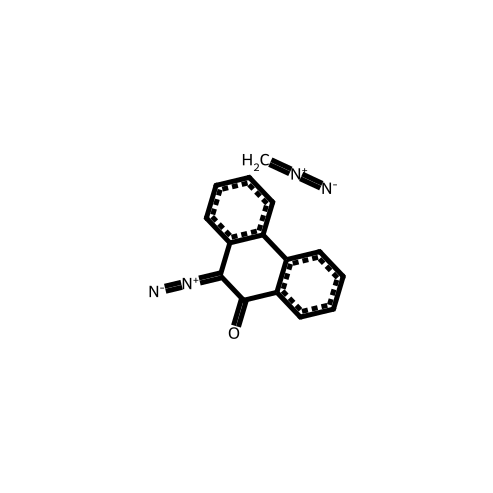 C=[N+]=[N-].[N-]=[N+]=C1C(=O)c2ccccc2-c2ccccc21